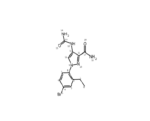 CCc1cc(Br)ccc1-n1cc(NC(N)=O)c(C(N)=O)n1